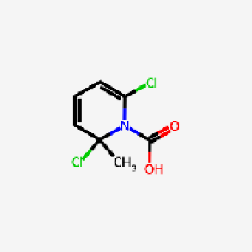 CC1(Cl)C=CC=C(Cl)N1C(=O)O